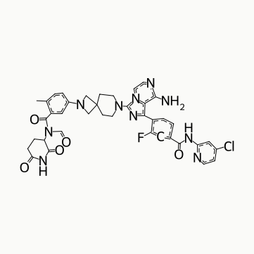 Cc1ccc(N2CC3(CCN(c4nc(-c5ccc(C(=O)Nc6cc(Cl)ccn6)cc5F)c5c(N)nccn45)CC3)C2)cc1C(=O)N(C=O)C1CCC(=O)NC1=O